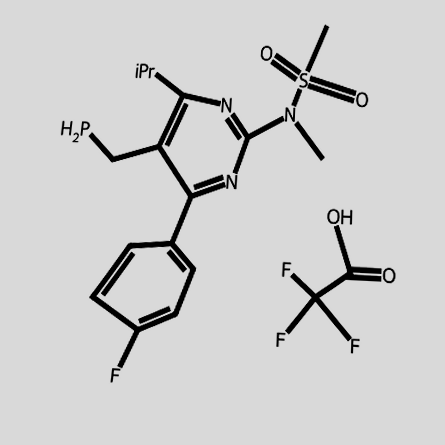 CC(C)c1nc(N(C)S(C)(=O)=O)nc(-c2ccc(F)cc2)c1CP.O=C(O)C(F)(F)F